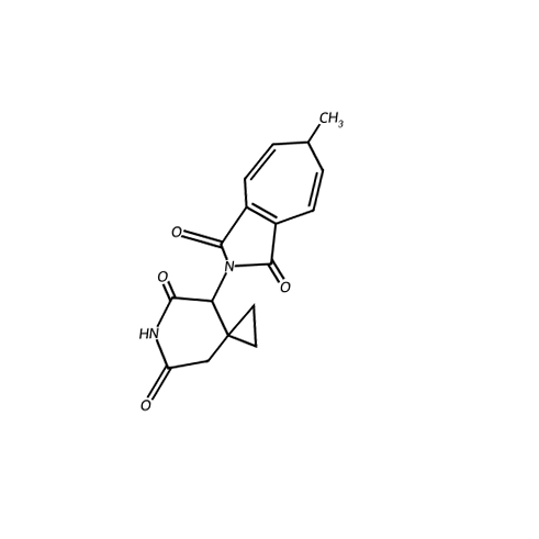 CC1C=CC2=C(C=C1)C(=O)N(C1C(=O)NC(=O)CC13CC3)C2=O